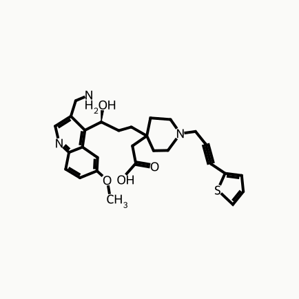 COc1ccc2ncc(CN)c([C@@H](O)CCC3(CC(=O)O)CCN(CC#Cc4cccs4)CC3)c2c1